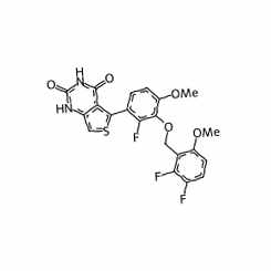 COc1ccc(F)c(F)c1COc1c(OC)ccc(-c2scc3[nH]c(=O)[nH]c(=O)c23)c1F